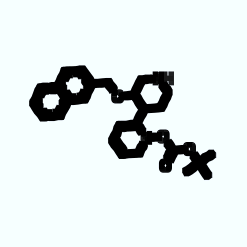 CC(C)(C)OC(=O)ON1CC=CC=C1C1CCNCC1OCc1ccc2ccccc2c1